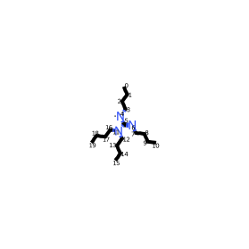 CCCC[N]C(=NCCCC)N(CCCC)CCCC